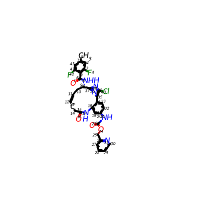 Cc1cc(F)c(C(=O)N[C@H]2CC=CCCC(=O)Nc3cc(NC(=O)OCc4ccccn4)ccc3-c3nc2[nH]c3Cl)c(F)c1